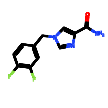 NC(=O)c1cn(Cc2ccc(F)c(F)c2)cn1